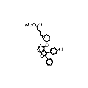 COC(=O)CCCN1CCC[C@@H](Oc2ncnc3oc(-c4ccccc4)c(-c4ccc(Cl)cc4)c23)C1